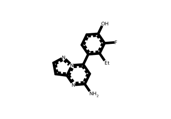 CCc1c(-c2cc(N)nc3ccnn23)ccc(O)c1F